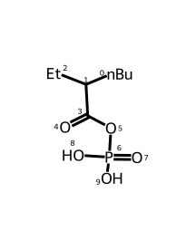 CCCCC(CC)C(=O)OP(=O)(O)O